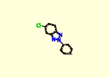 Clc1ccc2nn(-c3cc[c]cc3)nc2c1